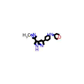 Cn1cc(-c2c[nH]c3ncc(C4CCC(NC5CCOCC5)CC4)cc23)cn1